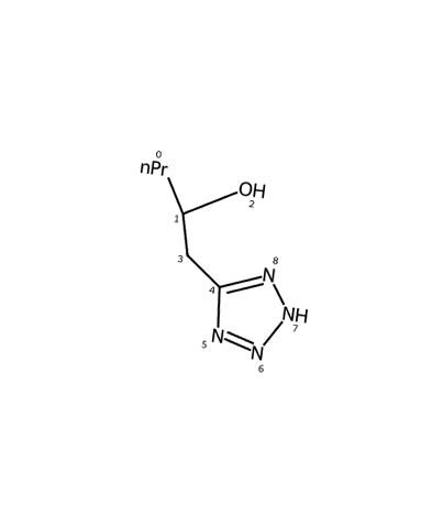 CCCC(O)Cc1nn[nH]n1